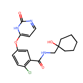 O=C(NCC1(O)CCCCC1)c1cc(Oc2ccnc(=O)[nH]2)ccc1Cl